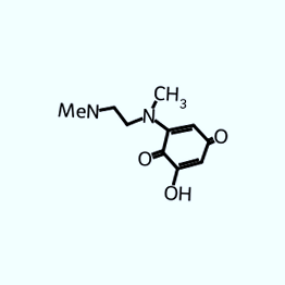 CNCCN(C)C1=CC(=O)C=C(O)C1=O